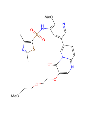 COCCOCCOc1cnc2ccc(-c3cnc(OC)c(NS(=O)(=O)c4sc(C)nc4C)c3)cn2c1=O